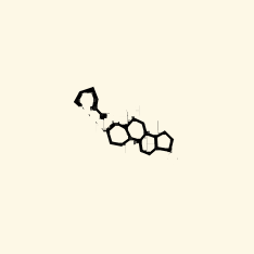 C[C@]12CCc3nc(-c4ccccn4)sc3[C@@H]1[C@@H](O)C[C@@H]1[C@@H]2CC[C@]2(C)C(=O)CC[C@@H]12